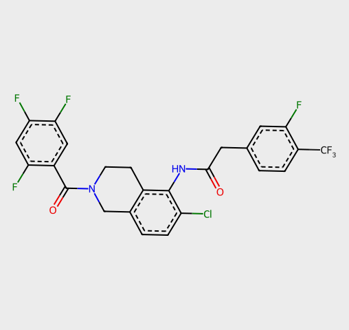 O=C(Cc1ccc(C(F)(F)F)c(F)c1)Nc1c(Cl)ccc2c1CCN(C(=O)c1cc(F)c(F)cc1F)C2